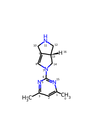 Cc1cc(C)nc(N2C=C3CNC[C@@H]3C2)n1